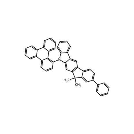 CC1(C)c2cc(-c3ccccc3)ccc2-c2cc3c4ccccc4n(-c4cccc5c6ccccc6c6ccccc6c45)c3cc21